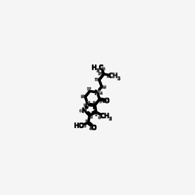 Cc1c(C(=O)O)nn2c1C(=O)N(CCC(C)C)CC2